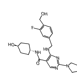 O=C(N[C@H]1CC[C@H](O)CC1)c1cnc(N2CC3CC3C2)nc1NCc1ccc(CO)c(F)c1